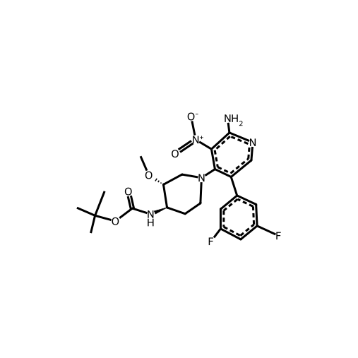 CO[C@@H]1CN(c2c(-c3cc(F)cc(F)c3)cnc(N)c2[N+](=O)[O-])CC[C@H]1NC(=O)OC(C)(C)C